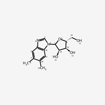 Cc1cc2ncn(C3O[C@H](CO)[C@@H](O)[C@H]3O)c2cc1C